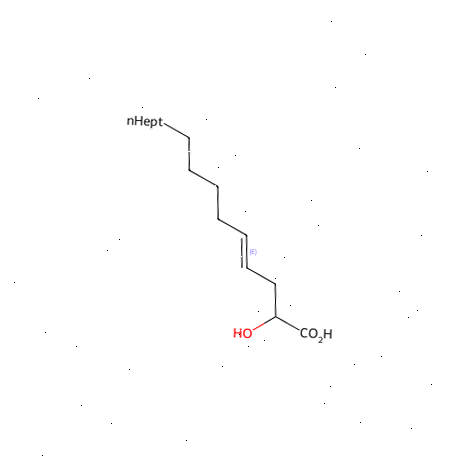 CCCCCCCCCCC/C=C/CC(O)C(=O)O